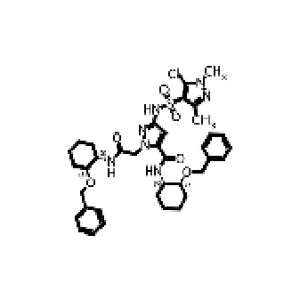 Cc1nn(C)c(Cl)c1S(=O)(=O)Nc1cc(C(=O)N[C@H]2CCCC[C@@H]2OCc2ccccc2)n(CC(=O)N[C@H]2CCCC[C@@H]2OCc2ccccc2)n1